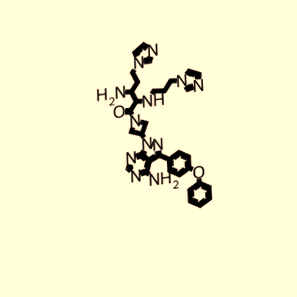 Nc1ncnc2c1c(-c1ccc(Oc3ccccc3)cc1)nn2C1CN(C(=O)C(NCCCn2ccnc2)C(N)CCn2ccnc2)C1